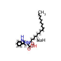 CCCCCCCC/C=C\CCCCCCCC(=O)N[C@@H](Cc1c[nH]c2ccccc12)C(=O)O.[NaH]